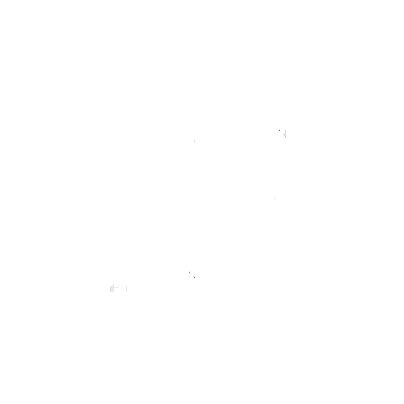 CCC(C)c1cc(-c2ccco2)c(-c2cncs2)[c]n1